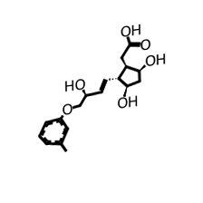 Cc1cccc(OC[C@@H](O)/C=C/[C@@H]2[C@@H](CC(=O)O)[C@@H](O)C[C@H]2O)c1